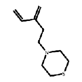 C=CC(=C)CCN1CCSCC1